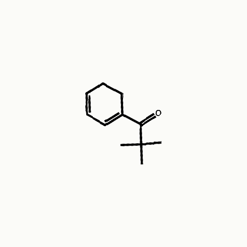 CC(C)(C)C(=O)C1=CC=CCC1